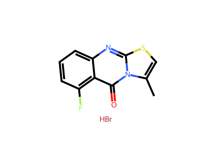 Br.Cc1csc2nc3cccc(F)c3c(=O)n12